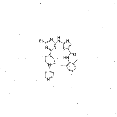 CCc1nc(Nc2ncc(C(=O)Nc3c(C)cccc3C)s2)nc(N2CCN(c3ccncc3)CC2)n1